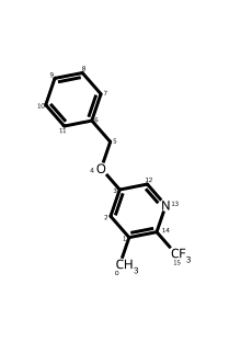 Cc1cc(OCc2ccccc2)cnc1C(F)(F)F